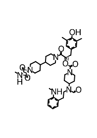 CNc1ccccc1CCN(C=O)C1CCN(C(=O)O[C@H](Cc2cc(C)c(O)c(C)c2)C(=O)N2CCC(C3CCN(S(=O)(=O)NC)CC3)CC2)CC1